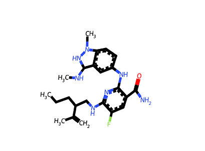 C=C(C)C(CCC)CNc1nc(Nc2ccc3c(c2)C(NC)NN3C)c(C(N)=O)cc1F